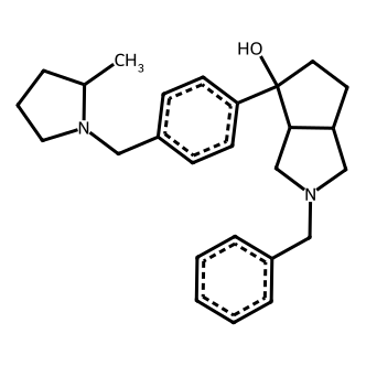 CC1CCCN1Cc1ccc(C2(O)CCC3CN(Cc4ccccc4)CC32)cc1